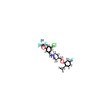 Fc1ccc(C2CC2)c(OCC2CCN(Cc3cc(Cl)cc(OC(F)(F)F)c3)CC2)c1